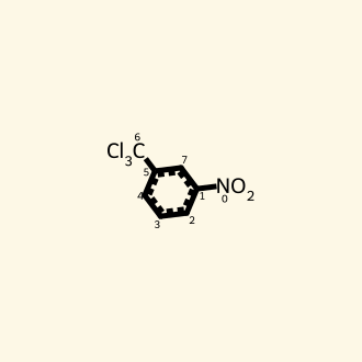 O=[N+]([O-])c1cccc(C(Cl)(Cl)Cl)c1